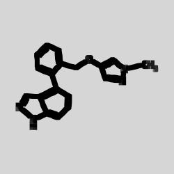 Cn1cc(OCc2ccccc2-c2cccc3[nH]ncc23)cn1